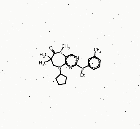 CCN(c1cccc(C(F)(F)F)c1)c1ncc2c(n1)N(C1CCCC1)CC(C)(C)C(=O)N2C